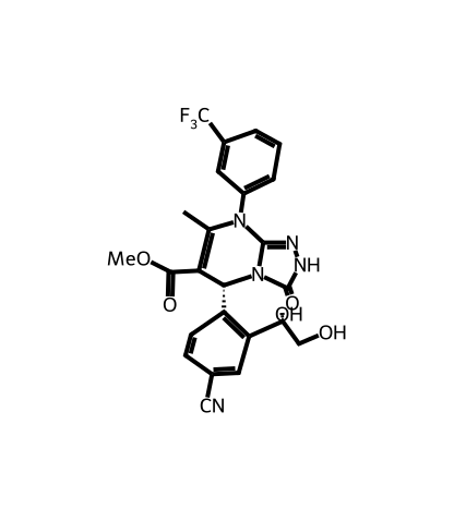 COC(=O)C1=C(C)N(c2cccc(C(F)(F)F)c2)c2n[nH]c(=O)n2[C@@H]1c1ccc(C#N)cc1[C@H](O)CO